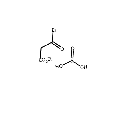 CCOC(=O)CC(=O)CC.O=S(O)O